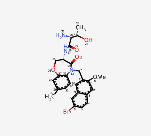 COc1cc2ccc(Br)cc2cc1CN1C(=O)[C@@H](NC(=O)[C@@H](N)[C@H](C)O)COc2cc(C)ccc21